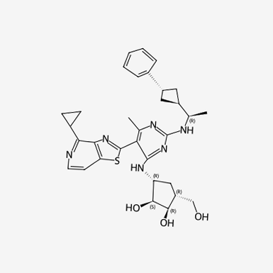 Cc1nc(N[C@H](C)[C@H]2C[C@H](c3ccccc3)C2)nc(N[C@@H]2C[C@H](CO)[C@@H](O)[C@H]2O)c1-c1nc2c(C3CC3)nccc2s1